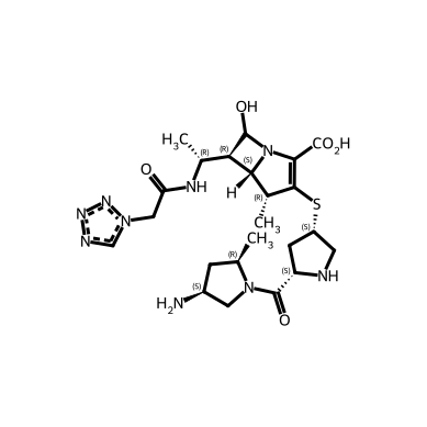 C[C@@H]1C[C@H](N)CN1C(=O)[C@@H]1C[C@H](SC2=C(C(=O)O)N3C(O)[C@H]([C@@H](C)NC(=O)Cn4cnnn4)[C@H]3[C@H]2C)CN1